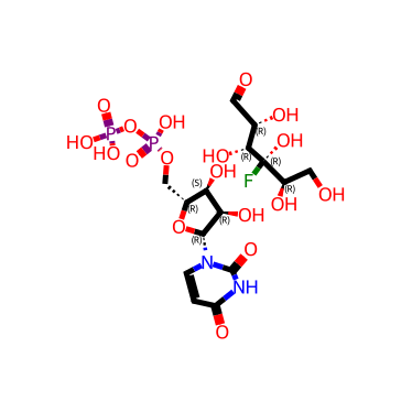 O=C[C@H](O)[C@@H](O)[C@](O)(F)[C@H](O)CO.O=c1ccn([C@@H]2O[C@H](COP(=O)(O)OP(=O)(O)O)[C@@H](O)[C@H]2O)c(=O)[nH]1